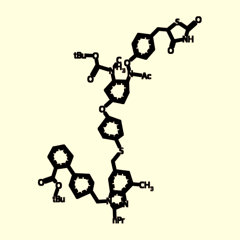 CCCc1nc2c(C)cc(CSc3ccc(Oc4ccc(N(Oc5ccc(CC6SC(=O)NC6=O)cc5)C(C)=O)c(N(C)C(=O)OC(C)(C)C)c4)cc3)cc2n1Cc1ccc(-c2ccccc2C(=O)OC(C)(C)C)cc1